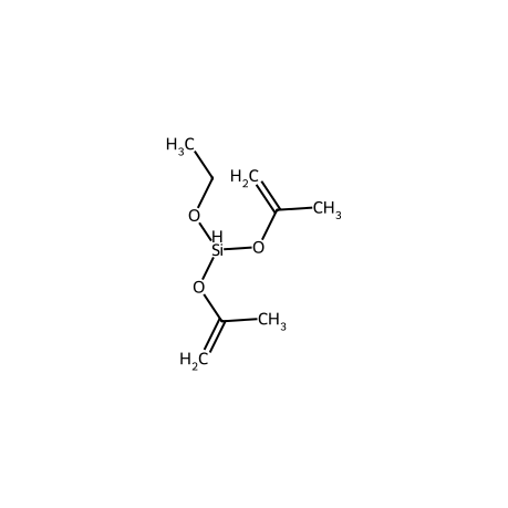 C=C(C)O[SiH](OCC)OC(=C)C